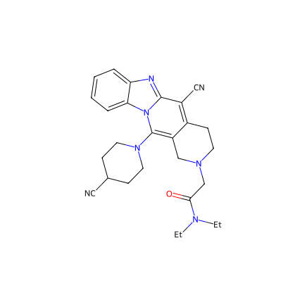 CCN(CC)C(=O)CN1CCc2c(c(N3CCC(C#N)CC3)n3c(nc4ccccc43)c2C#N)C1